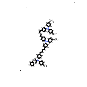 CCCCc1ccc(N(c2ccc(/C=C/C=C\c3ccc(N(c4ccc(C)cc4)c4ccc(C(C)C)cc4)cc3)cc2)c2ccc(/C=C/C=C/c3ccc(N(c4ccc(C(C)C)cc4)c4ccc5ccccc5c4)cc3)cc2)cc1